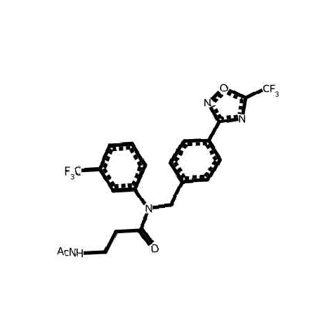 CC(=O)NCCC(=O)N(Cc1ccc(-c2noc(C(F)(F)F)n2)cc1)c1cccc(C(F)(F)F)c1